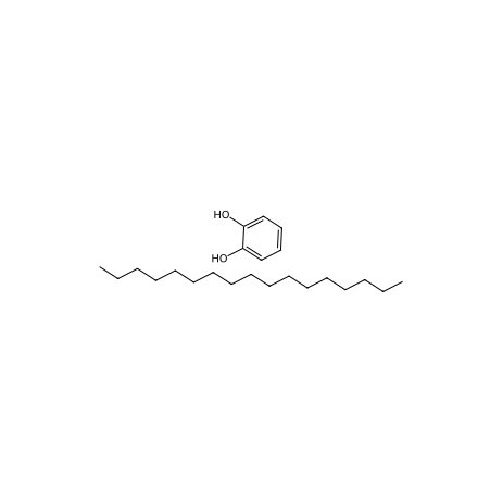 CCCCCCCCCCCCCCCCC.Oc1ccccc1O